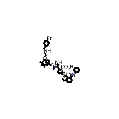 CCc1ccc(CNCCOC23CC(CN/C(C)=C(\C=N)c4ccc(N5CCc6cccc(/C(=N/c7ccccc7)SC)c6C5)nc4C(=O)O)(C2)CC2(C)CC2(C)C3)cc1